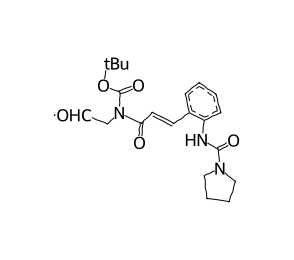 CC(C)(C)OC(=O)N(C[C]=O)C(=O)/C=C/c1ccccc1NC(=O)N1CCCC1